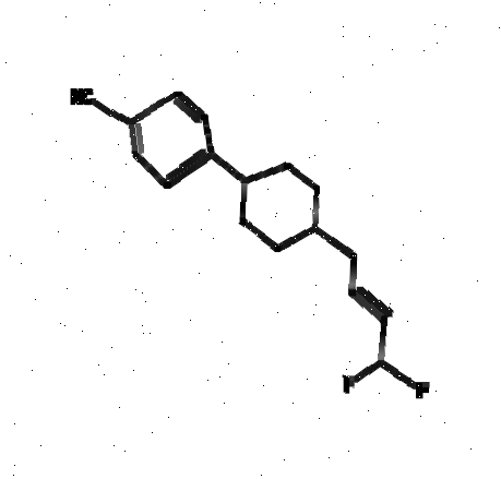 N#Cc1ccc(C2CCC(CC=CC(F)F)CC2)cc1